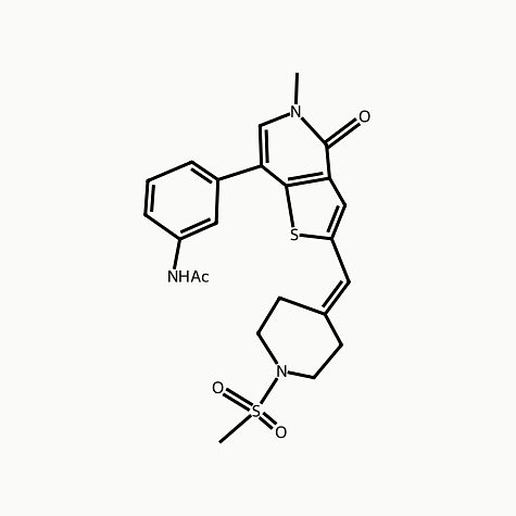 CC(=O)Nc1cccc(-c2cn(C)c(=O)c3cc(C=C4CCN(S(C)(=O)=O)CC4)sc23)c1